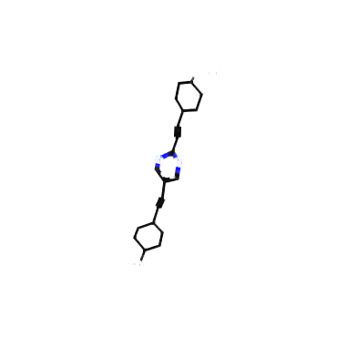 CCCCCCC1CCC(C#Cc2cnc(C#CC3CCC(CCCCCC)CC3)nc2)CC1